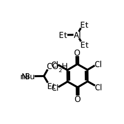 CCCCC(CC)C(=O)O.C[CH2][Al]([CH2]C)[CH2]C.O=C1C(Cl)=C(Cl)C(=O)C(Cl)=C1Cl.[Ni]